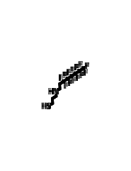 FC(F)(F)C(F)(F)C(F)(F)C(F)(F)C(F)(F)C(F)(F)CCNCCCS